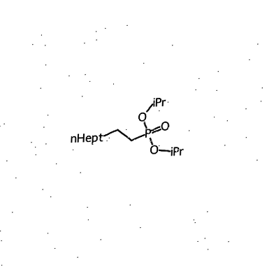 CCCCCCCCCP(=O)(OC(C)C)OC(C)C